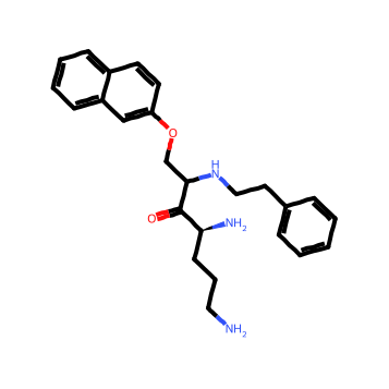 NCCC[C@H](N)C(=O)C(COc1ccc2ccccc2c1)NCCc1ccccc1